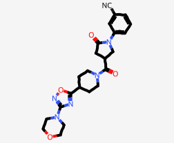 N#Cc1cccc(N2CC(C(=O)N3CCC(c4nc(N5CCOCC5)no4)CC3)CC2=O)c1